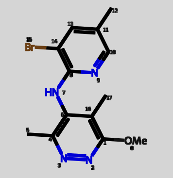 COc1nnc(C)c(Nc2ncc(C)cc2Br)c1C